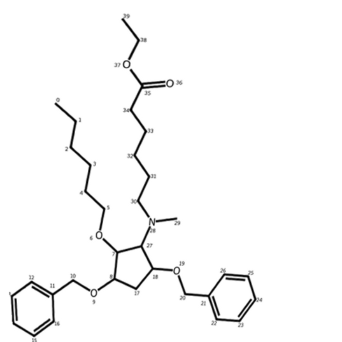 CCCCCCOC1C(OCc2ccccc2)CC(OCc2ccccc2)C1N(C)CCCCCC(=O)OCC